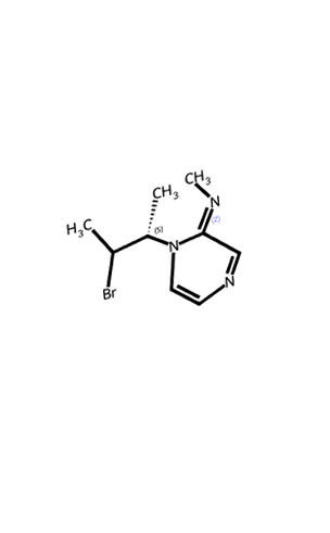 C/N=c1/cnccn1[C@@H](C)C(C)Br